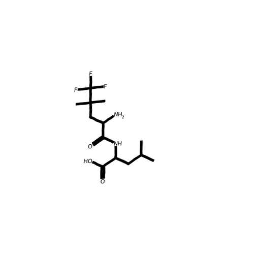 CC(C)CC(NC(=O)C(N)CC(C)(C)C(F)(F)F)C(=O)O